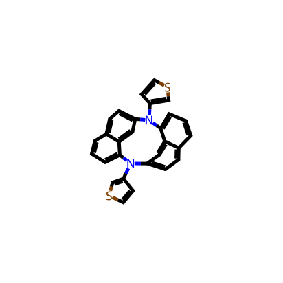 c1cc2ccc3cc2c(c1)n(-c1ccsc1)c1ccc2cccc(c2c1)n3-c1ccsc1